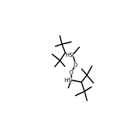 C[SiH](OO[SiH](C)C(C(C)(C)C)C(C)(C)C)C(C(C)(C)C)C(C)(C)C